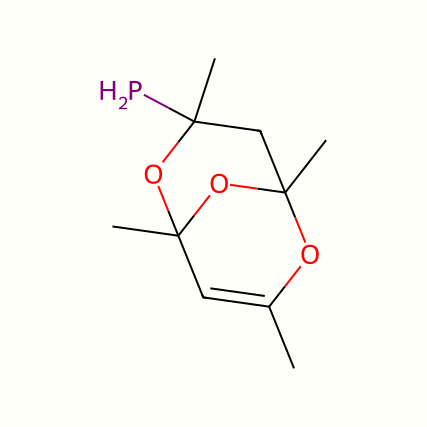 CC1=CC2(C)OC(C)(P)CC(C)(O1)O2